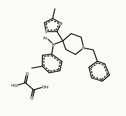 CC(=O)N(c1cccc(C)c1)C1(c2nc(C)cs2)CCN(Cc2ccccc2)CC1.O=C(O)C(=O)O